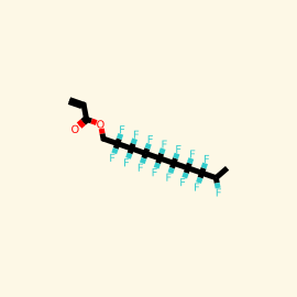 C=CC(=O)OCC(F)(F)C(F)(F)C(F)(F)C(F)(F)C(F)(F)C(F)(F)C(F)(F)C(C)F